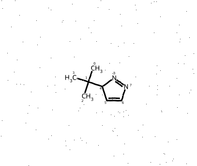 CC(C)(C)C1C=CN=N1